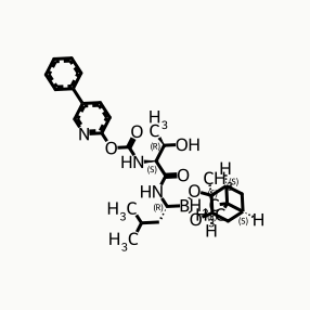 CC(C)C[C@H](NC(=O)[C@@H](NC(=O)Oc1ccc(-c2ccccc2)cn1)[C@@H](C)O)B1O[C@@H]2C[C@@H]3C[C@@H](C3(C)C)[C@]2(C)O1